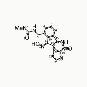 CNC(=O)NCc1cccc2c1/C(=N\O)c1c-2[nH]c(=O)c2nccn12